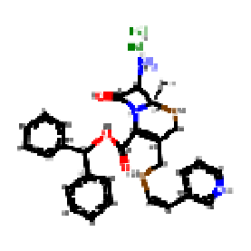 Cl.Cl.NC1C(=O)N2C(C(=O)OC(c3ccccc3)c3ccccc3)=C(CS/C=C\c3cccnc3)CS[C@H]12